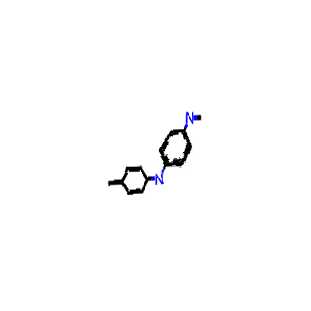 C=Nc1ccc(N=C2C=CC(=C)C=C2)cc1